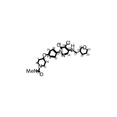 CNC(=O)N1CCC(Oc2ccc(-n3ncc(NC[C@@H]4CCCOC4)c(Cl)c3=O)cc2)CC1